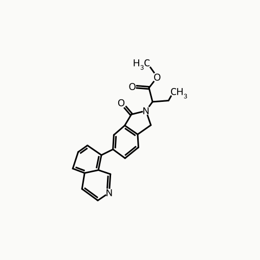 CCC(C(=O)OC)N1Cc2ccc(-c3cccc4ccncc34)cc2C1=O